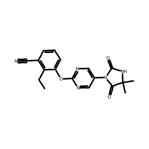 CCc1c(C#N)cccc1Oc1ncc(N2C(=O)NC(C)(C)C2=O)cn1